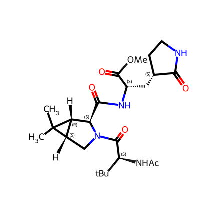 COC(=O)[C@H](C[C@@H]1CCNC1=O)NC(=O)[C@@H]1[C@@H]2[C@H](CN1C(=O)[C@@H](NC(C)=O)C(C)(C)C)C2(C)C